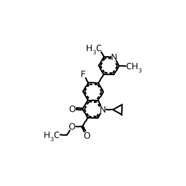 CCOC(=O)c1cn(C2CC2)c2cc(-c3cc(C)nc(C)c3)c(F)cc2c1=O